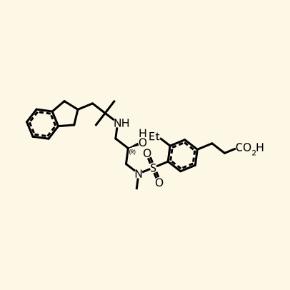 CCc1cc(CCC(=O)O)ccc1S(=O)(=O)N(C)C[C@H](O)CNC(C)(C)CC1Cc2ccccc2C1